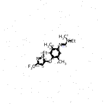 CCN(C)/C=N/c1cc(C)c(Oc2cc(C(F)(F)F)nn2CC)cc1C